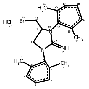 Cc1cccc(C)c1N1CC(CBr)N(c2c(C)cccc2C)C1=N.Cl